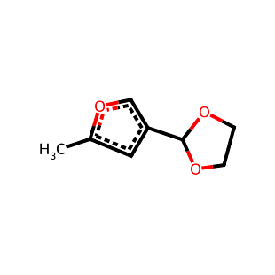 Cc1cc(C2OCCO2)co1